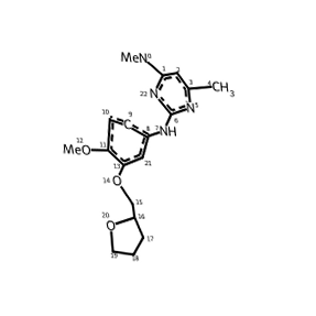 CNc1cc(C)nc(Nc2ccc(OC)c(OCC3CCCO3)c2)n1